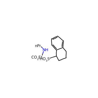 CCCNC(=O)OCC.O=S(=O)(O)C1CCCc2ccccc21